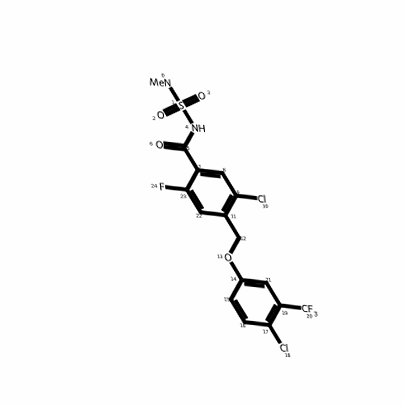 CNS(=O)(=O)NC(=O)c1cc(Cl)c(COc2ccc(Cl)c(C(F)(F)F)c2)cc1F